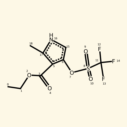 CCOC(=O)c1c(OS(=O)(=O)C(F)(F)F)c[nH]c1C